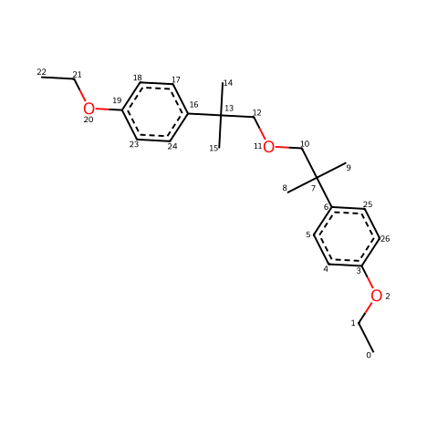 CCOc1ccc(C(C)(C)COCC(C)(C)c2ccc(OCC)cc2)cc1